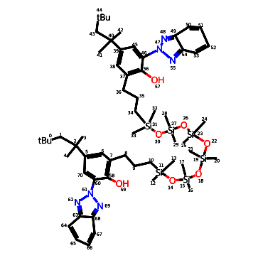 CC(C)(C)CC(C)(C)c1cc(CCC[Si](C)(C)O[Si](C)(C)O[Si](C)(C)O[Si](C)(C)O[Si](C)(C)O[Si](C)(C)CCCc2cc(C(C)(C)CC(C)(C)C)cc(-n3nc4ccccc4n3)c2O)c(O)c(-n2nc3ccccc3n2)c1